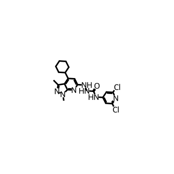 Cc1nn(C)c2nc(NNC(=O)Nc3cc(Cl)nc(Cl)c3)cc(C3CCCCC3)c12